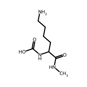 CNC(=O)C(CCCCN)NC(=O)O